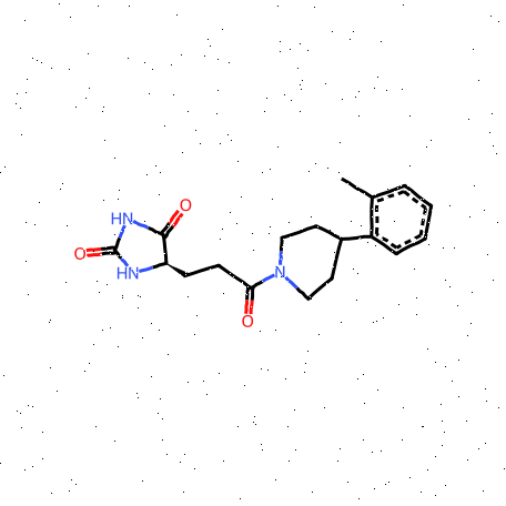 Cc1ccccc1C1CCN(C(=O)CC[C@H]2NC(=O)NC2=O)CC1